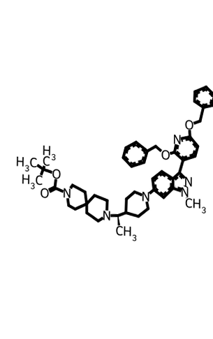 C[C@H](C1CCN(c2ccc3c(-c4ccc(OCc5ccccc5)nc4OCc4ccccc4)nn(C)c3c2)CC1)N1CCC2(CCN(C(=O)OC(C)(C)C)CC2)CC1